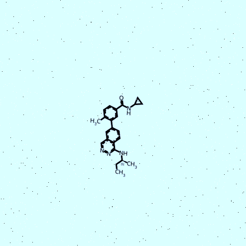 CC[C@H](C)Nc1nncc2cc(-c3cc(C(=O)NC4CC4)ccc3C)ccc12